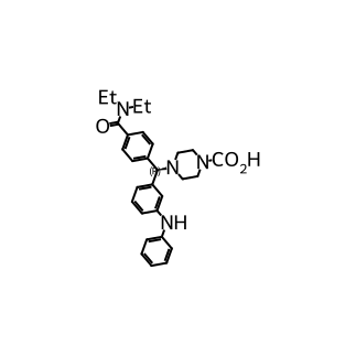 CCN(CC)C(=O)c1ccc([C@H](c2cccc(Nc3ccccc3)c2)N2CCN(C(=O)O)CC2)cc1